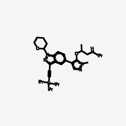 CC(C)NCC(C)Oc1c(-c2ccc3c(c2)c(C#C[Si](C(C)C)(C(C)C)C(C)C)nn3C2CCCCO2)cnn1C